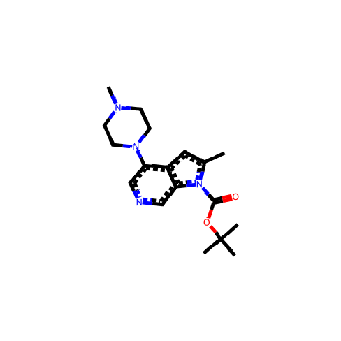 Cc1cc2c(N3CCN(C)CC3)cncc2n1C(=O)OC(C)(C)C